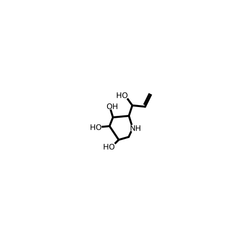 C=CC(O)C1NCC(O)C(O)C1O